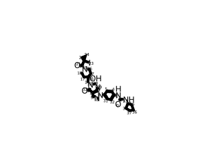 O=C(Nc1ccc(-n2ncc3c(=O)n(CC4(O)CCN(C(=O)C5(I)CC5)CC4)cnc32)cc1)NC1CCCC1